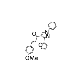 COc1ccc(C=CC(=O)c2cn(-c3ccccc3)nc2-c2ccco2)cc1